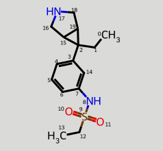 CCC1(c2cccc(NS(=O)(=O)CC)c2)C2CNCC21